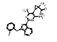 NC(=O)C1(C(F)(F)F)CC1c1c(N)nc(-c2nn(Cc3ccccc3F)c3nnccc23)nc1N